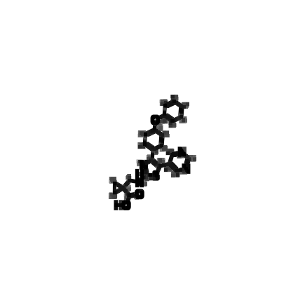 O=C(O)C1(CNc2nc(-c3ccc(Oc4ccccc4)cc3)c(-c3cncnc3)s2)CC1